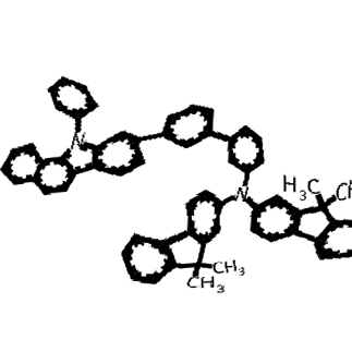 CC1(C)c2ccccc2-c2ccc(N(c3cccc(-c4cccc(-c5ccc6c7ccc8ccccc8c7n(-c7ccccc7)c6c5)c4)c3)c3ccc4c(c3)C(C)(C)c3ccccc3-4)cc21